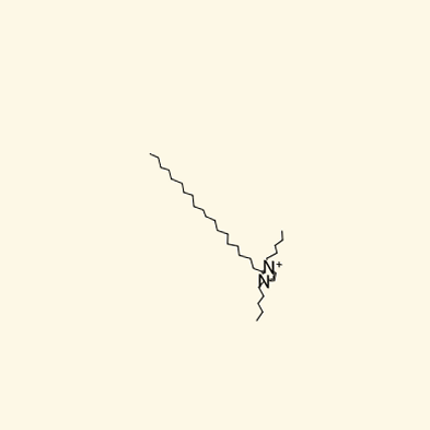 CCCCCCCCCCCCCCCCCCCc1n(CCCCC)cc[n+]1CCCCC